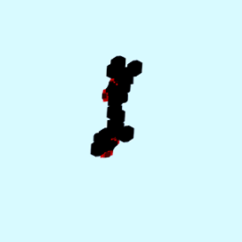 c1ccc(-c2cc(-c3ccc4cc(-c5ccc6c(c5)Sc5ccc(-c7nc(-c8ccccc8)cc(-c8cccc9ccccc89)n7)cc5C65c6ccccc6-c6ccccc65)ccc4c3)nc(-c3ccc4c(c3)C3(c5ccccc5S4)c4ccccc4-c4ccccc43)n2)cc1